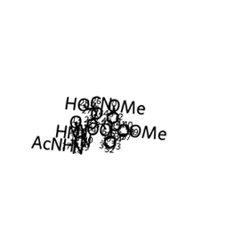 COc1ccc(C(OC[C@H]2O[C@@H](n3c(=O)[nH]c4c(NC(C)=O)ncnc43)CC2OC(C#N)CO)(c2ccccc2)c2ccc(OC)cc2)cc1